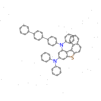 c1ccc(-c2ccc(-c3ccc(N(c4ccccc4)c4cc(N(c5ccccc5)c5ccccc5)cc5sc6ccc7ccccc7c6c45)cc3)cc2)cc1